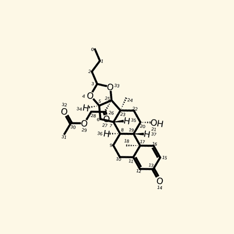 CCCC1O[C@@H]2C[C@H]3[C@@H]4CCC5=CC(=O)C=C[C@]5(C)[C@H]4[C@@H](O)C[C@]3(C)[C@]2(C(=O)COC(C)=O)O1